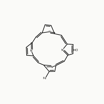 Cl.[Fe][C]1=CC2=CC3=NC(=CC4=NC(=CC5=NC(=CC1=N2)C=C5)C=C4)C=C3